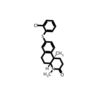 CN1C(=O)CC[C@]2(C)c3ccc(Sc4ccccc4Cl)cc3CC[C@@H]12